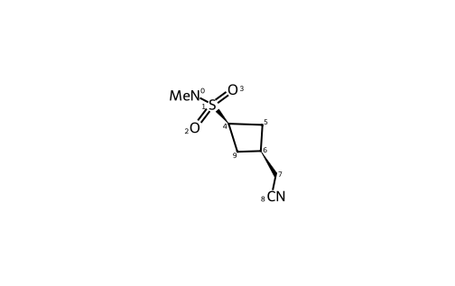 CNS(=O)(=O)[C@H]1C[C@@H](CC#N)C1